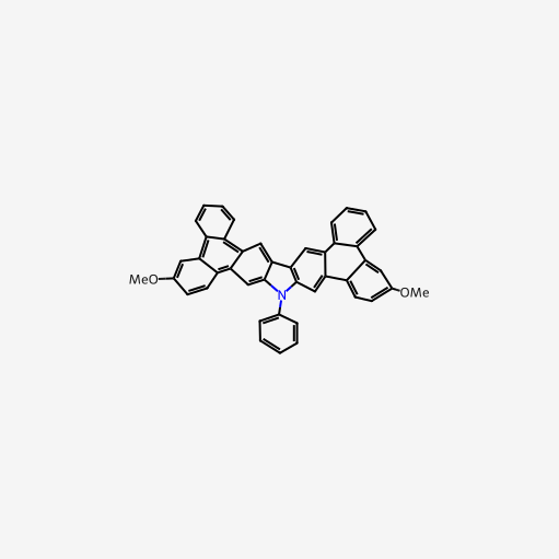 COc1ccc2c(c1)c1ccccc1c1cc3c4cc5c6ccccc6c6cc(OC)ccc6c5cc4n(-c4ccccc4)c3cc21